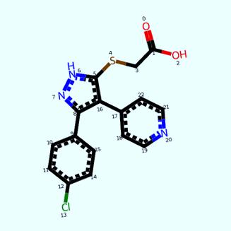 O=C(O)CSc1[nH]nc(-c2ccc(Cl)cc2)c1-c1ccncc1